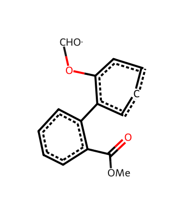 COC(=O)c1ccccc1-c1ccccc1O[C]=O